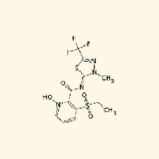 CCS(=O)(=O)c1ccc[n+](O)c1C(=O)/N=c1\sc(C(F)(F)F)nn1C